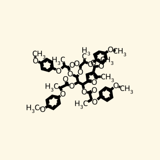 COC(=O)c1cc(C(OC(=O)C(C)Oc2ccc(OC)cc2)C(OC(=O)C(C)Oc2ccc(OC)cc2)C(OC(=O)C(C)Oc2ccc(OC)cc2)OC(=O)C(C)Oc2ccc(OC)cc2)oc1C